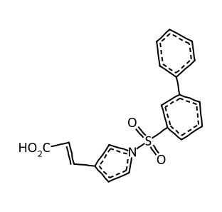 O=C(O)C=Cc1ccn(S(=O)(=O)c2cccc(-c3ccccc3)c2)c1